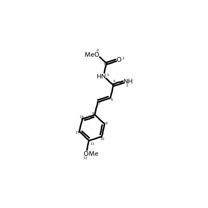 COC(=O)NC(=N)/C=C/c1ccc(OC)cc1